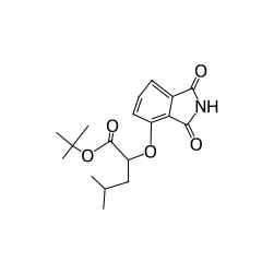 CC(C)CC(Oc1cccc2c1C(=O)NC2=O)C(=O)OC(C)(C)C